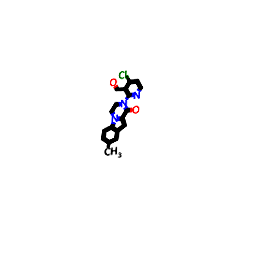 Cc1ccc2c(c1)cc1c(=O)n(-c3nccc(Cl)c3C=O)ccn12